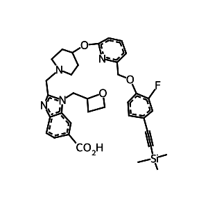 C[Si](C)(C)C#Cc1ccc(OCc2cccc(OC3CCN(Cc4nc5ccc(C(=O)O)cc5n4CC4CCO4)CC3)n2)c(F)c1